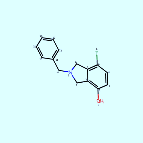 Oc1ccc(F)c2c1CN(Cc1ccccc1)C2